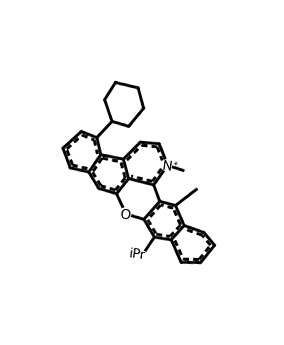 Cc1c2c(c(C(C)C)c3ccccc13)Oc1cc3cccc(C4CCCCC4)c3c3cc[n+](C)c-2c13